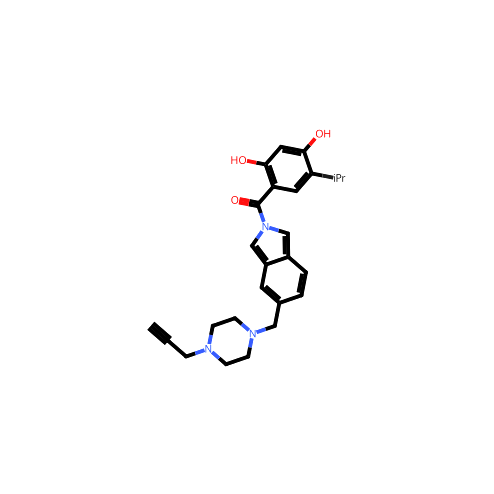 C#CCN1CCN(Cc2ccc3cn(C(=O)c4cc(C(C)C)c(O)cc4O)cc3c2)CC1